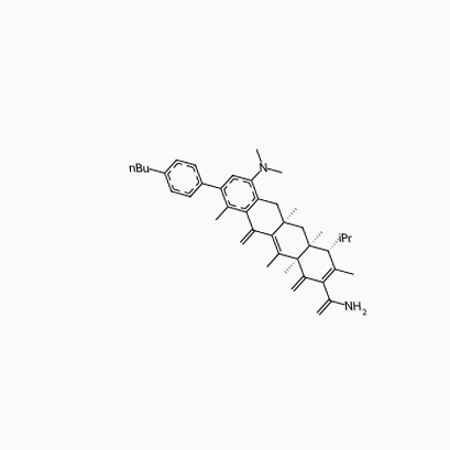 C=C(N)C1=C(C)[C@@H](C(C)C)[C@]2(C)C[C@]3(C)Cc4c(N(C)C)cc(-c5ccc(CCCC)cc5)c(C)c4C(=C)C3=C(C)[C@]2(C)C1=C